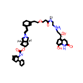 CCN(CCNC[C@H](O)c1ccc(O)c2[nH]c(=O)ccc12)C(=O)CCOCCc1cccc(CCN2C[C@H]3C[C@H](OC(=O)Nc4ccccc4-c4ccccc4)C[C@H]3C2)c1